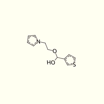 OC(OCCn1cccc1)c1ccsc1